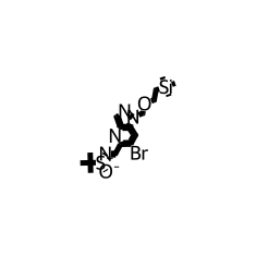 CC(C)(C)[S+]([O-])N=Cc1nc2cnn(COCC[Si](C)(C)C)c2cc1Br